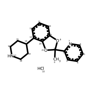 CC1(c2ccccn2)Oc2cccc(C3CCNCC3)c2O1.Cl